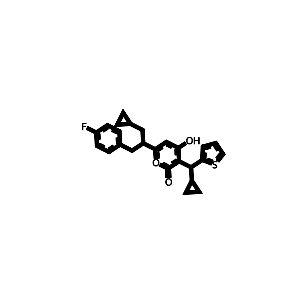 O=c1oc(C(Cc2ccc(F)cc2)CC2CC2)cc(O)c1C(c1cccs1)C1CC1